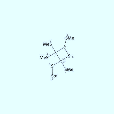 CSC1SC(SC)([S][Sb])C1(SC)SC